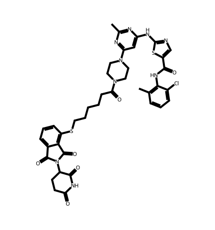 Cc1nc(Nc2ncc(C(=O)Nc3c(C)cccc3Cl)s2)cc(N2CCN(C(=O)CCCCCSc3cccc4c3C(=O)N(C3CCC(=O)NC3=O)C4=O)CC2)n1